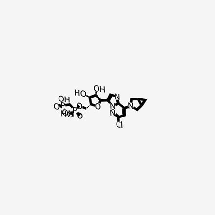 O=P(O)(O)CP(=O)(O)OC[C@H]1OC(c2cnc3c(N4CC5CC5C4)cc(Cl)nn23)[C@H](O)[C@@H]1O